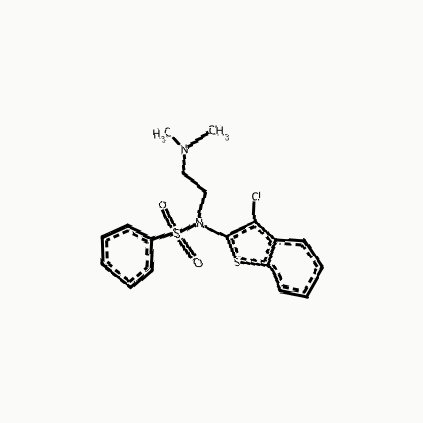 CN(C)CCN(c1sc2ccccc2c1Cl)S(=O)(=O)c1ccccc1